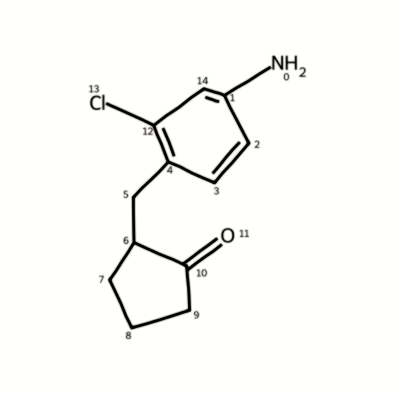 Nc1ccc(CC2CCCC2=O)c(Cl)c1